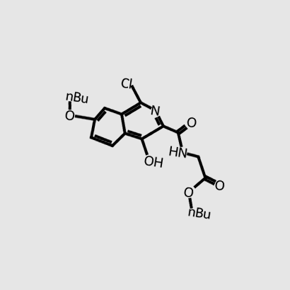 CCCCOC(=O)CNC(=O)c1nc(Cl)c2cc(OCCCC)ccc2c1O